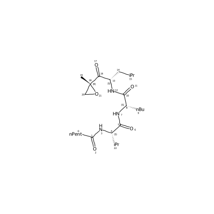 CCCCCC(=O)N[C@H](C(=O)N[C@@H](CCCC)C(=O)N[C@@H](CC(C)C)C(=O)[C@@]1(C)CO1)C(C)C